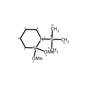 CO[Si]1(OC)CCCCN1[Si](C)(C)C